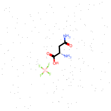 F[B-](F)(F)F.NC(=O)C[C@H](N)C(=O)O